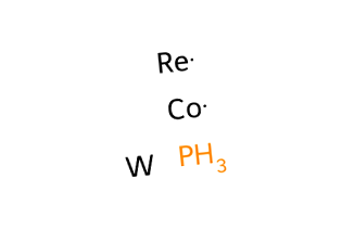 P.[Co].[Re].[W]